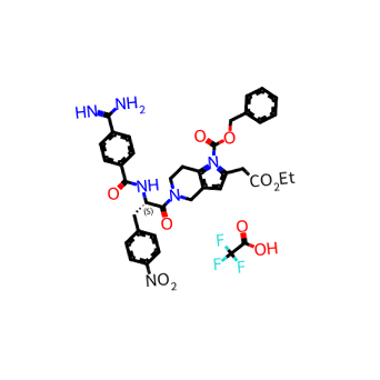 CCOC(=O)Cc1cc2c(n1C(=O)OCc1ccccc1)CCN(C(=O)[C@H](Cc1ccc([N+](=O)[O-])cc1)NC(=O)c1ccc(C(=N)N)cc1)C2.O=C(O)C(F)(F)F